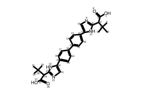 CC(C)(C)C(C(=O)O)c1ncc(-c2ccc(-c3ccc(-c4cnc(C(C(=O)O)C(C)(C)C)[nH]4)cc3)cc2)[nH]1